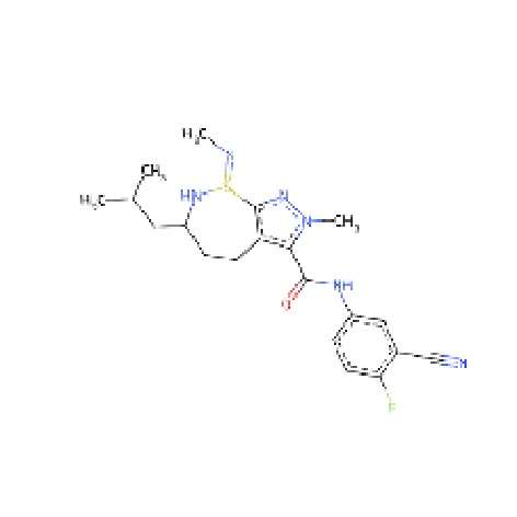 CN=S1NC(CC(C)C)CCc2c1nn(C)c2C(=O)Nc1ccc(F)c(C#N)c1